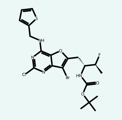 C[C@H](F)[C@@H](Cc1oc2c(NCc3cccs3)nc(Cl)nc2c1Br)NC(=O)OC(C)(C)C